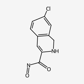 O=NC(=O)C1=Cc2ccc(Cl)cc2CN1